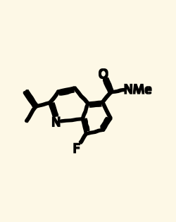 C=C(C)c1ccc2c(C(=O)NC)ccc(F)c2n1